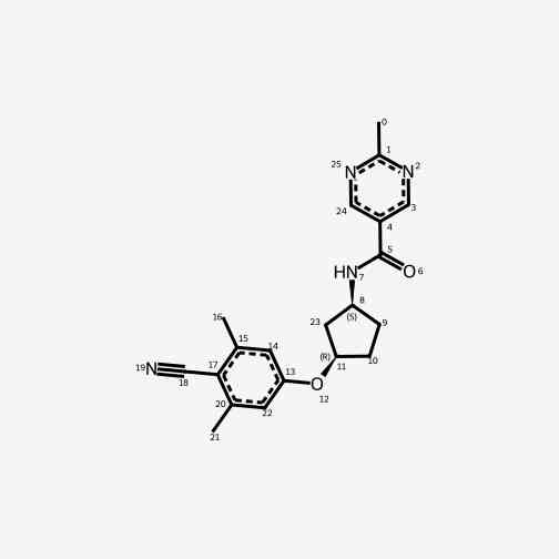 Cc1ncc(C(=O)N[C@H]2CC[C@@H](Oc3cc(C)c(C#N)c(C)c3)C2)cn1